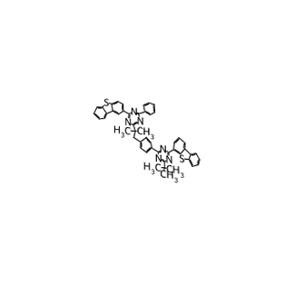 CC(C)(C)c1nc(-c2ccc(CC(C)(C)c3nc(-c4ccccc4)nc(-c4ccc5sc6ccccc6c5c4)n3)cc2)nc(-c2cccc3c2sc2ccccc23)n1